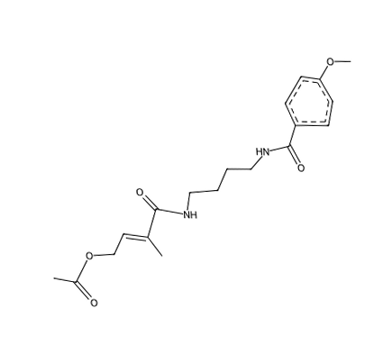 COc1ccc(C(=O)NCCCCNC(=O)/C(C)=C/COC(C)=O)cc1